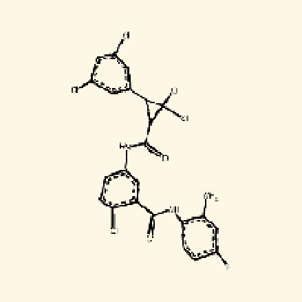 Nc1cc(F)ccc1NC(=O)c1cc(NC(=O)C2C(c3cc(Cl)cc(Cl)c3)C2(Cl)Cl)ccc1Cl